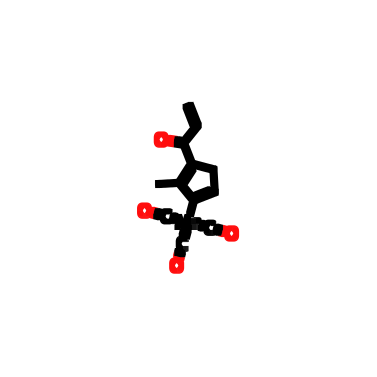 C=CC(=O)C1=C(C)[C]([Mn](=[C]=O)(=[C]=O)=[C]=O)=CC1